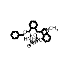 Cn1cc([C@H](O[SH](=O)=O)c2ccccc2[C@H](CN[SH](=O)=O)OCc2ccccc2)c2ccccc21